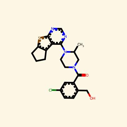 CC1CN(C(=O)c2cc(Cl)ccc2CO)CCN1c1ncnc2sc3c(c12)CCC3